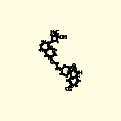 CC1(O)CC(c2ncnc3cc(OCCN4CCC5(CC4)C(=O)Nc4ccc(Cl)cc45)cnc23)C1